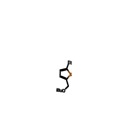 CCc1ccc(COCC(C)C)s1